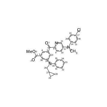 COC(=O)c1cc(C(=O)c2ccc(N(C)c3ccc(Cl)cc3)cn2)cc(N(CC2CC2)c2ccccc2)c1